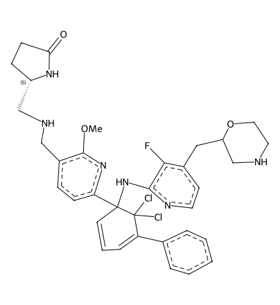 COc1nc(C2(Nc3nccc(CC4CNCCO4)c3F)C=CC=C(c3ccccc3)C2(Cl)Cl)ccc1CNC[C@@H]1CCC(=O)N1